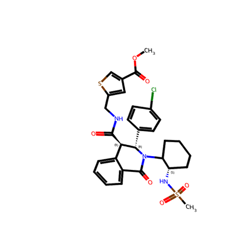 COC(=O)c1csc(CNC(=O)[C@@H]2c3ccccc3C(=O)N(C3CCCC[C@@H]3NS(C)(=O)=O)[C@H]2c2ccc(Cl)cc2)c1